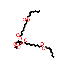 CCCC/C=C\CCOC(=O)CCCCCCCC(=O)OCC1(COC(=O)CCCCCCCC(=O)OCC/C=C\CCCC)COC(C)(C)OC1